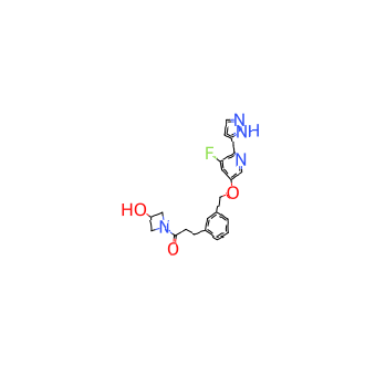 O=C(CCc1cccc(COc2cnc(-c3ccn[nH]3)c(F)c2)c1)N1CC(O)C1